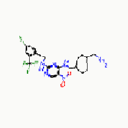 NCC1CCC(CNc2nc(NCc3ccc(F)cc3C(F)(F)F)ncc2[N+](=O)[O-])CC1